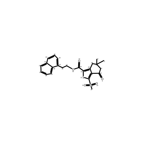 CC1(C)CC(=O)c2c(S(C)(=O)=O)sc(C(=O)OCCc3cccc4ccccc34)c2C1